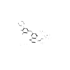 CCOC(=O)c1cn([C@H](CO[Si](C)(C)C(C)(C)C)C(C)(C)C)c2cc(OC)c(Cc3cc(N4CCOCC4)c(F)c(Cl)c3F)cc2c1=O